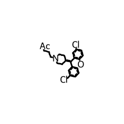 CC(=O)CCCN1CCC(=C2c3cc(Cl)ccc3Oc3ccc(Cl)cc32)CC1